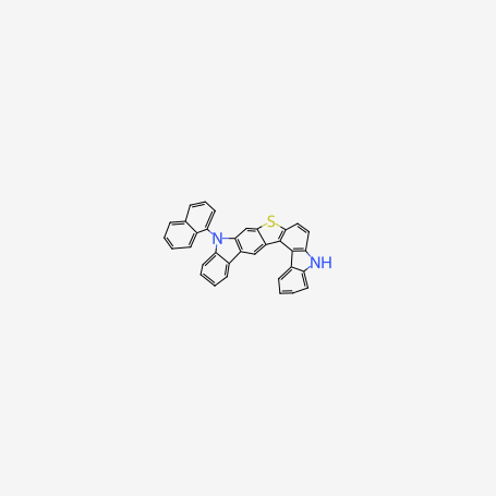 c1ccc2c(-n3c4ccccc4c4cc5c(cc43)sc3ccc4[nH]c6ccccc6c4c35)cccc2c1